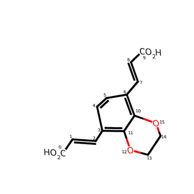 O=C(O)C=Cc1ccc(C=CC(=O)O)c2c1OCCO2